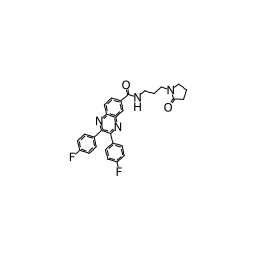 O=C(NCCCN1CCCC1=O)c1ccc2nc(-c3ccc(F)cc3)c(-c3ccc(F)cc3)nc2c1